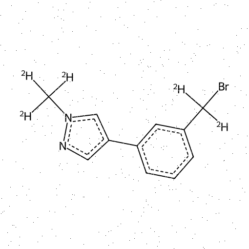 [2H]C([2H])(Br)c1cccc(-c2cnn(C([2H])([2H])[2H])c2)c1